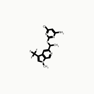 CC(Sc1nc(N)cc(Cl)n1)c1cc2c(C(F)(F)F)cn(C)c2cn1